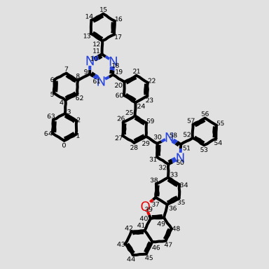 c1ccc(-c2cccc(-c3nc(-c4ccccc4)nc(-c4cccc(-c5cccc(-c6cc(-c7ccc8c(c7)oc7c9ccccc9ccc87)nc(-c7ccccc7)n6)c5)c4)n3)c2)cc1